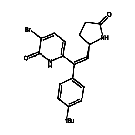 CC(C)(C)c1ccc(C(=C[C@H]2CCC(=O)N2)c2ccc(Br)c(=O)[nH]2)cc1